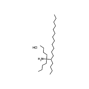 CCCCCCCCCCCCC(CCCC)C(N)(CCCC)CCCC.Cl